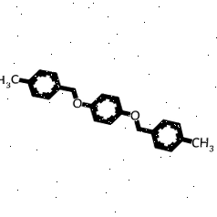 Cc1ccc(COc2ccc(OCc3ccc(C)cc3)cc2)cc1